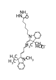 C[N+]1=C(/C=C/C=C/C=C2/N(CCCCCC(=O)NN)c3ccccc3C2(C)C)C(C)(C)c2ccccc21.Cl.[Cl-]